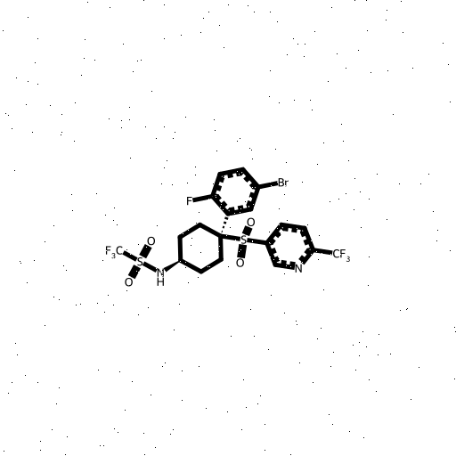 O=S(=O)(N[C@H]1CC[C@@](c2cc(Br)ccc2F)(S(=O)(=O)c2ccc(C(F)(F)F)nc2)CC1)C(F)(F)F